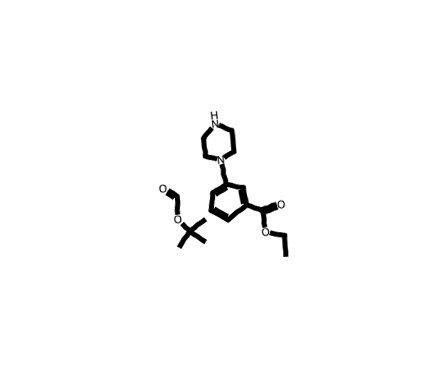 CC(C)(C)OC=O.CCOC(=O)c1cccc(N2CCNCC2)c1